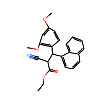 CCOC(=O)C(C#N)C(c1ccc(OC)cc1OC)c1cccc2ccccc12